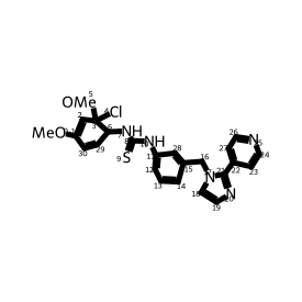 COC1=CC(Cl)(OC)C(NC(=S)Nc2cccc(Cn3ccnc3-c3ccncc3)c2)C=C1